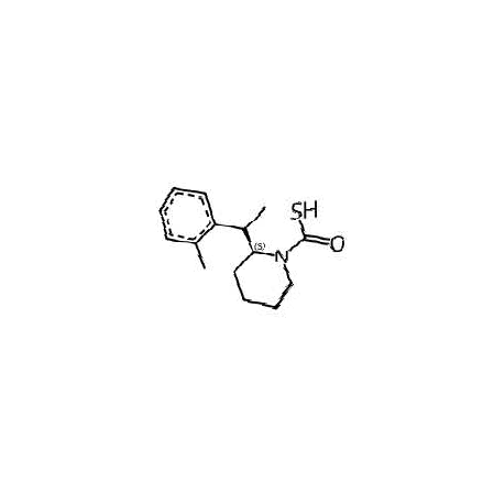 Cc1ccccc1C(C)[C@@H]1CCCCN1C(=O)S